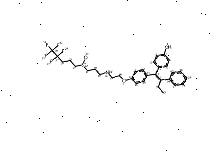 CC/C(=C(/c1ccc(O)cc1)c1ccc(OCCNCCC[S+]([O-])CCCC(F)(F)C(F)(F)F)cc1)c1ccccc1